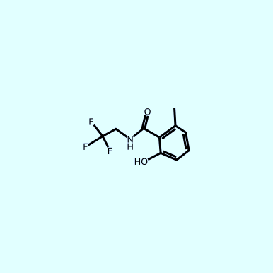 Cc1cccc(O)c1C(=O)NCC(F)(F)F